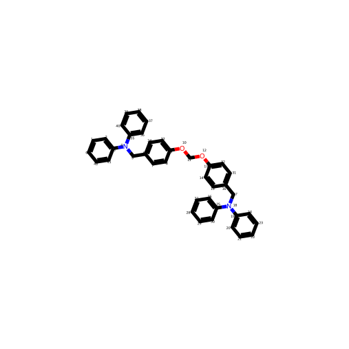 c1ccc(N(Cc2ccc(OCOc3ccc(CN(c4ccccc4)c4ccccc4)cc3)cc2)c2ccccc2)cc1